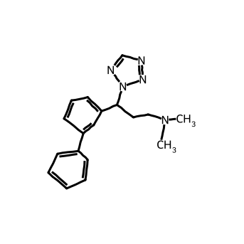 CN(C)CCC(c1cccc(-c2ccccc2)c1)n1ncnn1